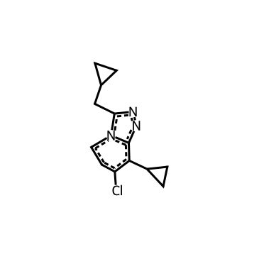 Clc1ccn2c(CC3CC3)nnc2c1C1CC1